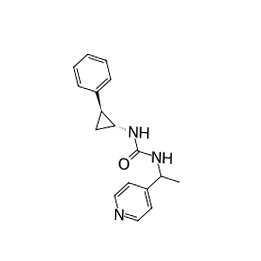 CC(NC(=O)N[C@@H]1C[C@H]1c1ccccc1)c1ccncc1